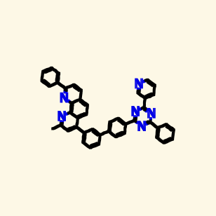 Cc1cc(-c2cccc(-c3ccc(-c4nc(-c5ccccc5)nc(-c5cccnc5)n4)cc3)c2)c2ccc3ccc(-c4ccccc4)nc3c2n1